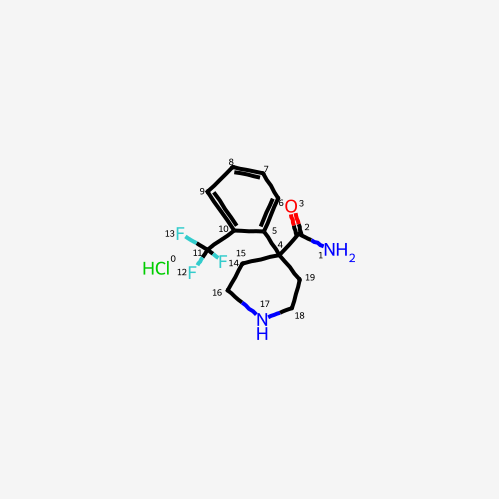 Cl.NC(=O)C1(c2ccccc2C(F)(F)F)CCNCC1